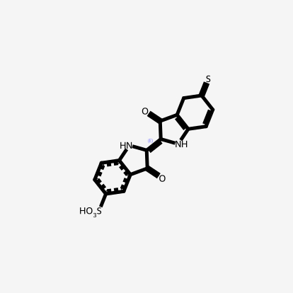 O=C1C2=C(C=CC(=S)C2)N/C1=C1/Nc2ccc(S(=O)(=O)O)cc2C1=O